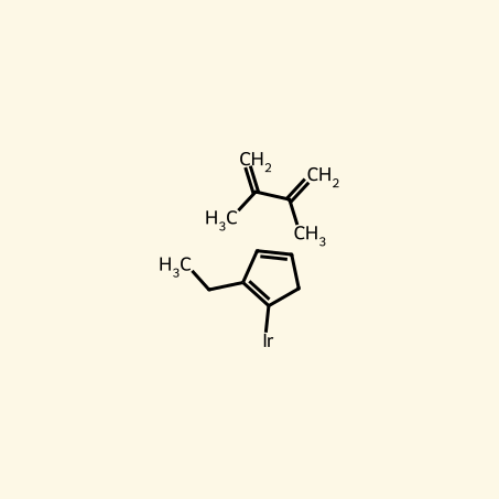 C=C(C)C(=C)C.CCC1=[C]([Ir])CC=C1